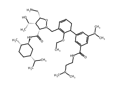 CCOC1=C(CN2O[C@@H](CN)[C@@H]([C@H](C)O)[C@H]2C(=O)N[C@H]2C[C@H](C(C)C)CC[C@@H]2C)C=CCC1c1cc(C(=O)NCCN(C)C)cc(N(C)C)c1